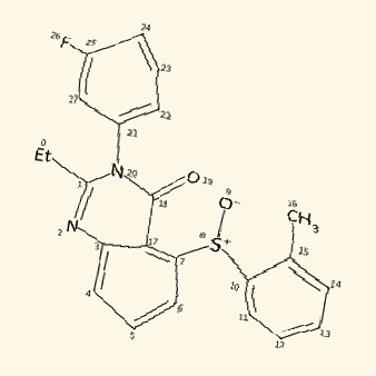 CCc1nc2cccc([S+]([O-])c3ccccc3C)c2c(=O)n1-c1cccc(F)c1